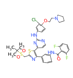 CC(C)(C)S(=O)(=O)Cc1nc(-c2cccc(NC(=O)c3c(F)cccc3F)c2)c(-c2ccnc(Nc3ccc(OCCN4CCCC4)c(Cl)c3)n2)s1